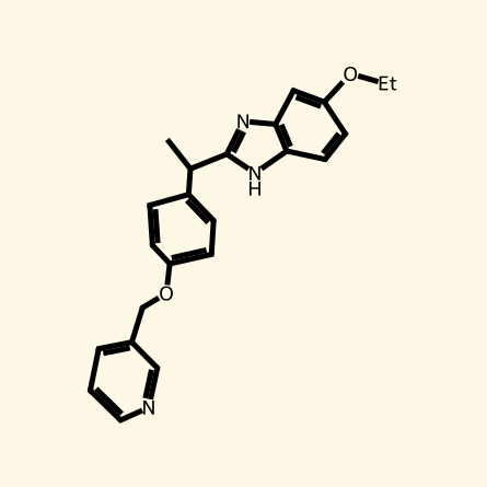 CCOc1ccc2[nH]c(C(C)c3ccc(OCc4cccnc4)cc3)nc2c1